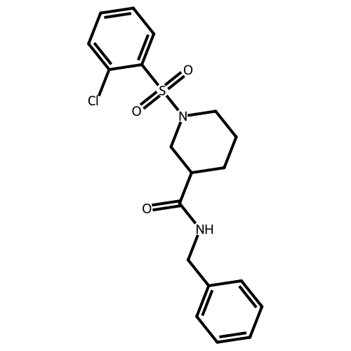 O=C(NCc1ccccc1)C1CCCN(S(=O)(=O)c2ccccc2Cl)C1